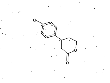 O=C1CC(c2ccc(Cl)cc2)CCO1